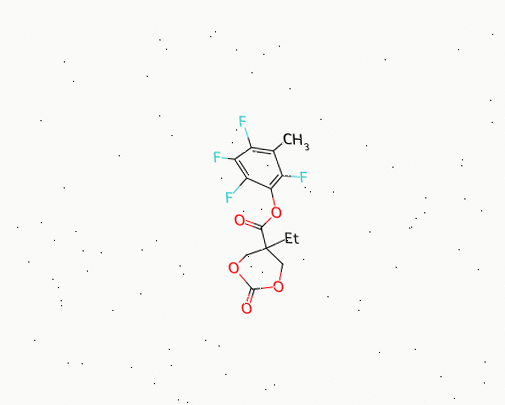 CCC1(C(=O)Oc2c(F)c(C)c(F)c(F)c2F)COC(=O)OC1